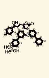 O=C1S[C@H](CCC(O)c2ccc(F)cc2)[C@@H](c2ccc(-c3ccc([PH](O)(O)O)cc3)cc2O)N1c1ccc(-c2ccccc2)cc1